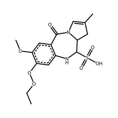 CCOOc1cc2c(cc1OC)C(=O)N1C=C(C)CC1C(S(=O)(=O)O)N2